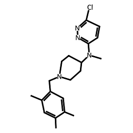 Cc1cc(C)c(CN2CCC(N(C)c3ccc(Cl)nn3)CC2)cc1C